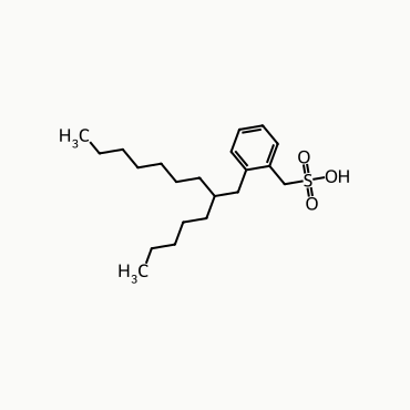 CCCCCCCC(CCCCC)Cc1ccccc1CS(=O)(=O)O